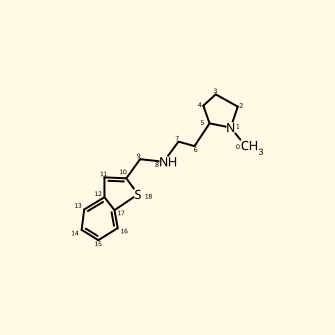 CN1CCCC1CCNCc1cc2ccccc2s1